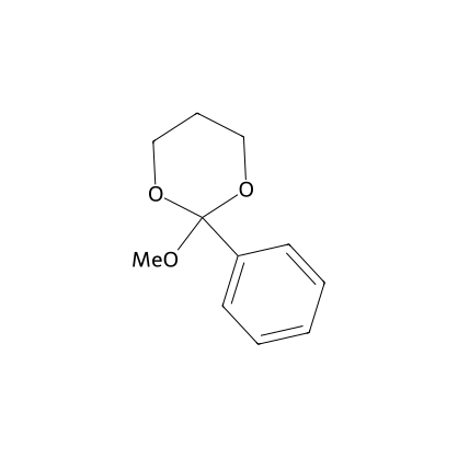 COC1(c2ccccc2)OCCCO1